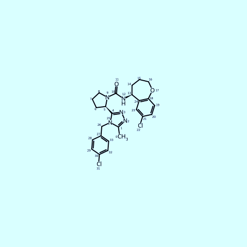 Cc1nnc([C@H]2CCCN2C(=O)N[C@H]2CCCOc3ccc(Cl)cc32)n1Cc1ccc(Cl)cc1